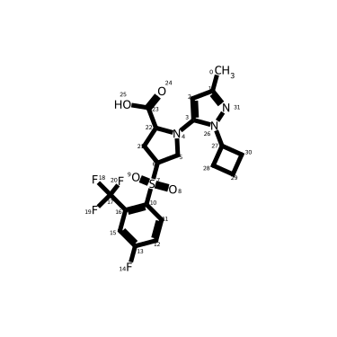 Cc1cc(N2CC(S(=O)(=O)c3ccc(F)cc3C(F)(F)F)CC2C(=O)O)n(C2CCC2)n1